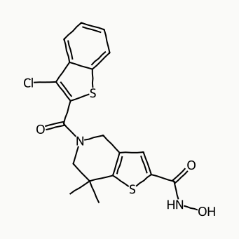 CC1(C)CN(C(=O)c2sc3ccccc3c2Cl)Cc2cc(C(=O)NO)sc21